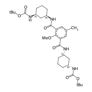 COc1c(C(=O)N[C@@H]2CCC[C@H](NC(=O)OC(C)(C)C)C2)cc(C)cc1C(=O)N[C@H]1CCC[C@@H](NC(=O)OC(C)(C)C)C1